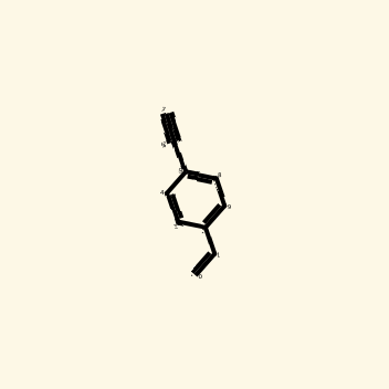 [CH]=Cc1ccc(C#C)cc1